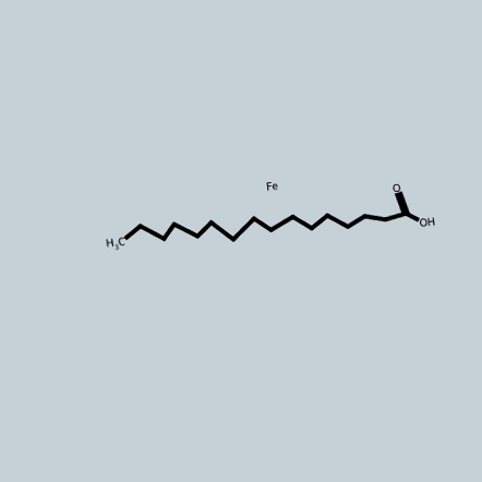 CCCCCCCCCCCCCCCC(=O)O.[Fe]